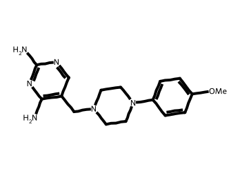 COc1ccc(N2CCN(Cc3cnc(N)nc3N)CC2)cc1